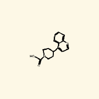 O=C(O)N1CCC(c2ccnc3ccccc23)CC1